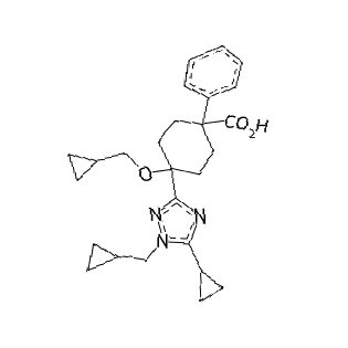 O=C(O)C1(c2ccccc2)CCC(OCC2CC2)(c2nc(C3CC3)n(CC3CC3)n2)CC1